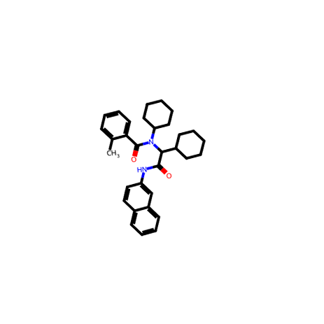 Cc1ccccc1C(=O)N(C1CCCCC1)C(C(=O)Nc1ccc2ccccc2c1)C1CCCCC1